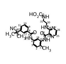 Cc1ccc(NC(=O)c2cccc(C(C)(C)C#N)c2)cc1NC(=O)c1nccnc1NCCNC(=O)O